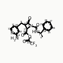 C[C@@H](NC(=O)N1C(=O)C(Cc2ccnc(N)c2)C1C(=O)OC(=O)C(F)(F)F)c1ccccc1